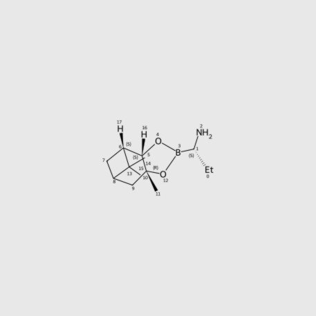 CC[C@@H](N)B1O[C@H]2[C@H]3CC(C[C@@]2(C)O1)C3(C)C